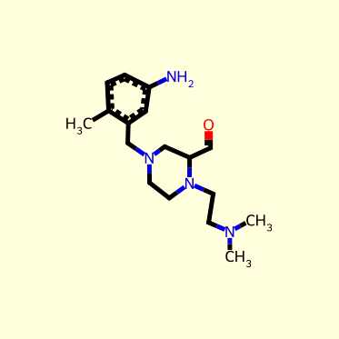 Cc1ccc(N)cc1CN1CCN(CCN(C)C)C(C=O)C1